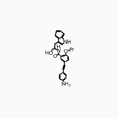 CC(C)Oc1ccc(C#Cc2ccc(N)cc2)cc1C(=O)N[C@@H](CO)Cc1c[nH]c2ccccc12